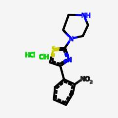 Cl.Cl.O=[N+]([O-])c1ccccc1-c1csc(N2CCNCC2)n1